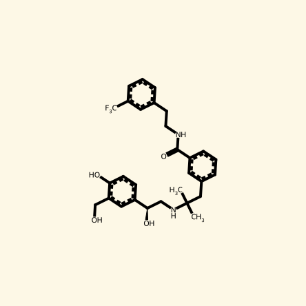 CC(C)(Cc1cccc(C(=O)NCCc2cccc(C(F)(F)F)c2)c1)NC[C@@H](O)c1ccc(O)c(CO)c1